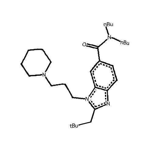 CCCCN(CCCC)C(=O)c1ccc2nc(CC(C)(C)C)n(CCCN3CCCCC3)c2c1